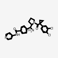 NC(c1ccc(C(=O)Nc2ccncc2)cc1)C1CCCN1C(=O)C1(c2ccc(Cl)c(Cl)c2)CC1